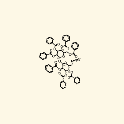 [N-]=[N+]=NCC1O[C@H](O[C@H]2OC(COC(=O)c3ccccc3)[C@@H](OC(=O)c3ccccc3)C(OC(=O)c3ccccc3)C2OC(=O)c2ccccc2)C(OC(=O)c2ccccc2)C(OC(=O)c2ccccc2)[C@@H]1OC(=O)c1ccccc1